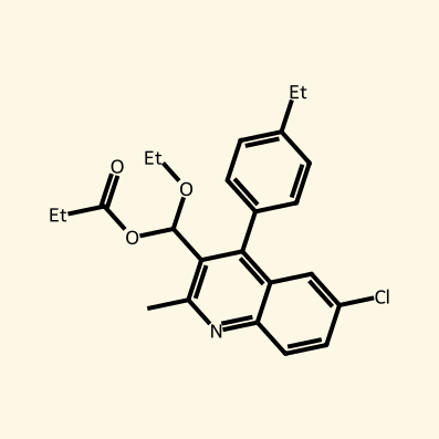 CCOC(OC(=O)CC)c1c(C)nc2ccc(Cl)cc2c1-c1ccc(CC)cc1